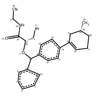 CC(C)C[C@H](OC(c1ccccc1)c1ccc(C2=CCC[C@@H](C)C2)cc1)C(=O)NCC#N